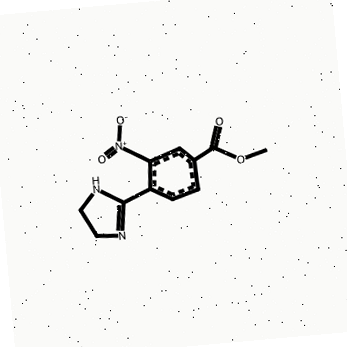 COC(=O)c1ccc(C2=NCCN2)c([N+](=O)[O-])c1